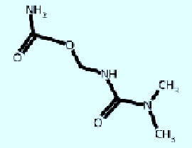 CN(C)C(=O)NCOC(N)=O